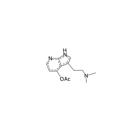 CC(=O)Oc1ccnc2[nH]cc(CCN(C)C)c12